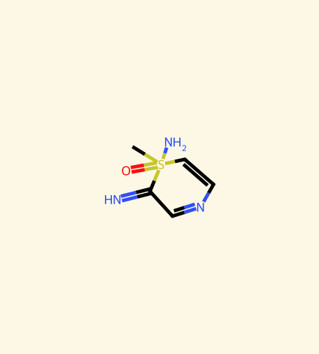 CS1(N)(=O)C=CN=CC1=N